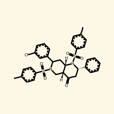 Cc1ccc(S(=O)(=O)N2C[C@H]3C(=O)C[C@@H](c4ccccc4)N(S(=O)(=O)c4ccc(C)cc4)[C@H]3CC2c2cccc(Cl)c2)cc1